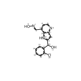 ON=Cc1ccnc2cc(C(O)c3ccccc3Cl)[nH]c12